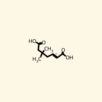 CC(C)(C/C=C/C(=O)O)CC(=O)O